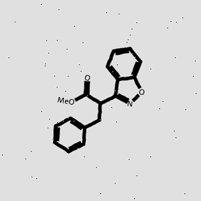 COC(=O)C(Cc1ccccc1)c1noc2ccccc12